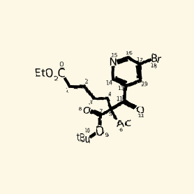 CCOC(=O)CCCCC(C(C)=O)(C(=O)OC(C)(C)C)C(=O)c1cncc(Br)c1